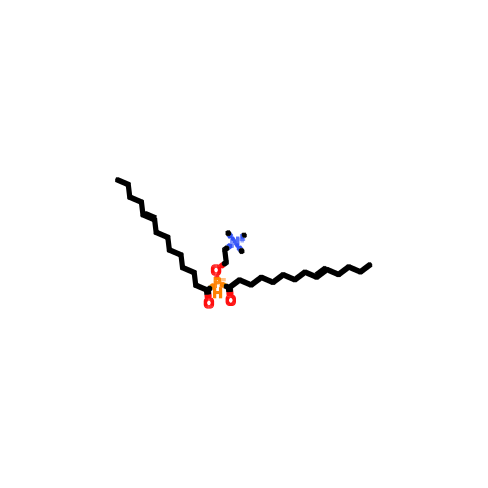 CCCCC=CCCCCCCCC(=O)[PH-](OCC[N+](C)(C)C)C(=O)CCCCCCCC=CCCCC